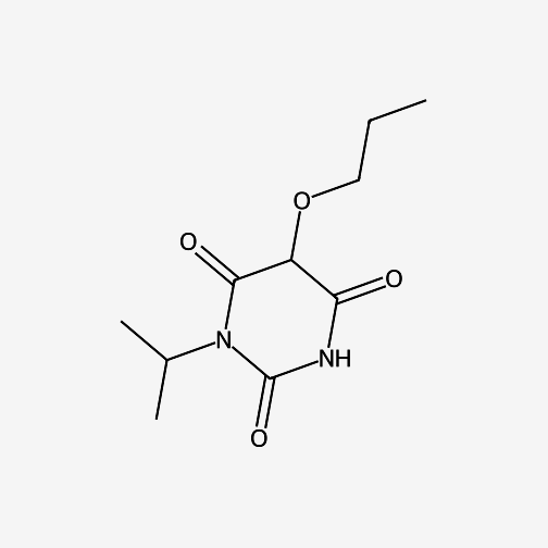 CCCOC1C(=O)NC(=O)N(C(C)C)C1=O